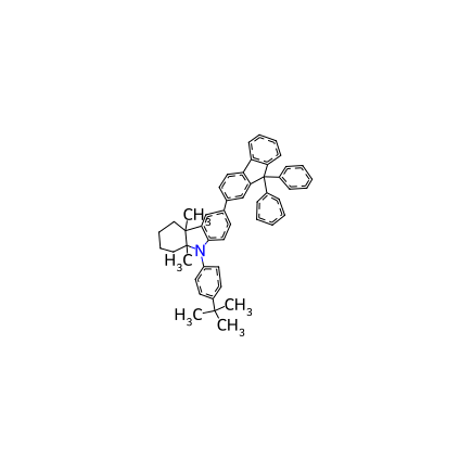 CC(C)(C)c1ccc(N2c3ccc(-c4ccc5c(c4)C(c4ccccc4)(c4ccccc4)c4ccccc4-5)cc3C3(C)CCCCC23C)cc1